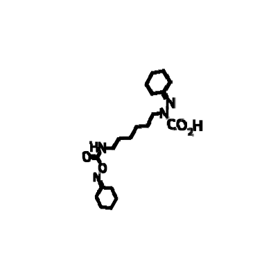 O=C(NCCCCCCN(N=C1CCCCC1)C(=O)O)ON=C1CCCCC1